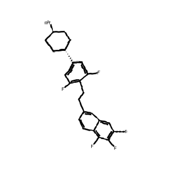 CCC[C@H]1CC[C@H](c2cc(F)c(CCc3ccc4c(F)c(F)c(F)cc4c3)c(F)c2)CC1